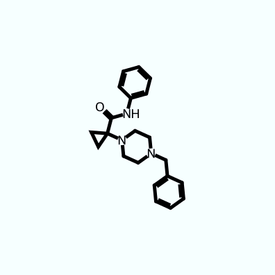 O=C(Nc1ccccc1)C1(N2CCN(Cc3ccccc3)CC2)CC1